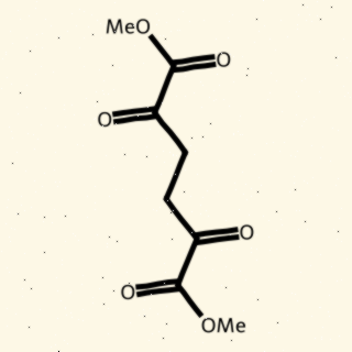 COC(=O)C(=O)CCC(=O)C(=O)OC